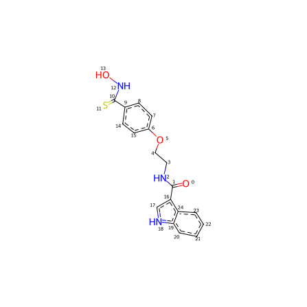 O=C(NCCOc1ccc(C(=S)NO)cc1)c1c[nH]c2ccccc12